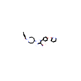 CC#CC(=O)N1CCCC(n2nc(-c3ccc(Oc4ccccn4)cc3)c(C(N)=O)c2N)CCC1